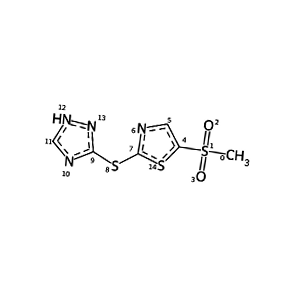 CS(=O)(=O)c1cnc(Sc2nc[nH]n2)s1